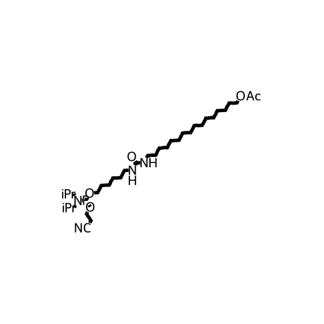 CC(=O)OCCCCCCCCCCCCCCCCNC(=O)NCCCCCCOP(OCCC#N)N(C(C)C)C(C)C